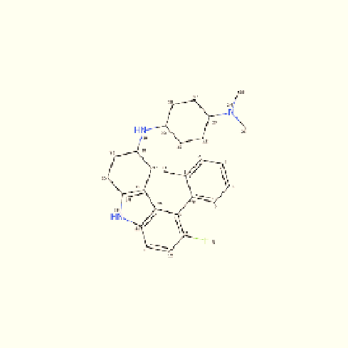 Cc1ccccc1-c1c(F)ccc2[nH]c3c(c12)CC(NC1CCC(N(C)C)CC1)CC3